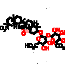 B[C@]12C(=O)C3C=C[C@]1(CC[C@H]1C(C)(C)C(OC4OC(C(=O)O)C(O)C(O)C4OC4OC(C(=O)O)C(O)C(O)C4O)CC[C@@]12C)[C@]1(C)CC[C@@]2(C)CC[C@](C)(C(=O)O)C[C@H]2C31